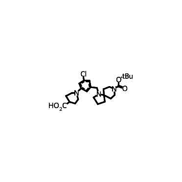 CC(C)(C)OC(=O)N1CCC2(CCCN2Cc2cc(Cl)cc(N3CCC(C(=O)O)CC3)c2)CC1